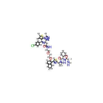 CN[C@@H](C)C(=O)NC(C(=O)N1CCC[C@H]1c1nc(-c2c(OCCOCCNC(=O)C[C@@H]3N=C(c4ccc(Cl)cc4)c4c(sc(C)c4C)-n4c(C)nnc43)ccc3ccccc23)cs1)C1CCCCC1